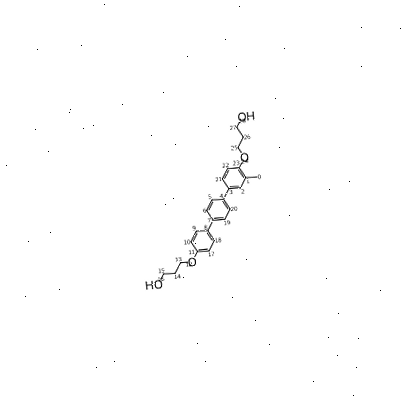 Cc1cc(-c2ccc(-c3ccc(OCCCO)cc3)cc2)ccc1OCCCO